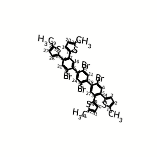 Cc1ccc(-c2cc(Br)c(-c3cc(Br)c(-c4cc(-c5ccc(C)s5)c(-c5ccc(C)s5)cc4Br)cc3Br)cc2-c2ccc(C)s2)s1